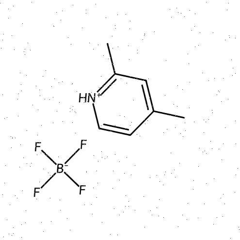 Cc1cc[nH+]c(C)c1.F[B-](F)(F)F